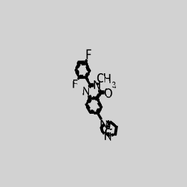 Cn1c(-c2cc(F)ccc2F)nc2ccc(N3CCN4CCC3CC4)cc2c1=O